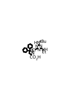 CCNc1nc(Cl)nc(NC(C)(C)C)n1.O=C(O)C1=NOC(c2ccccc2)(c2ccccc2)C1